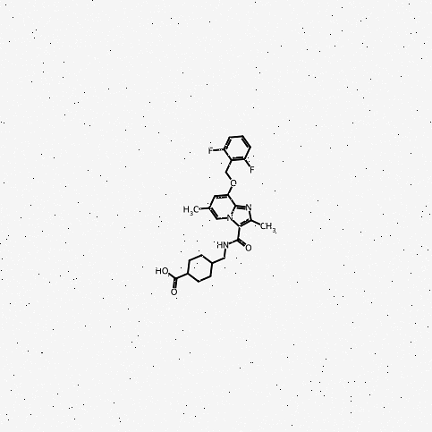 Cc1cc(OCc2c(F)cccc2F)c2nc(C)c(C(=O)NCC3CCC(C(=O)O)CC3)n2c1